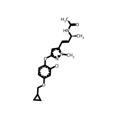 CC(=O)N[C@@H](C)/C=C/c1cc(Oc2ccc(OCC3CC3)cc2Cl)nn1C